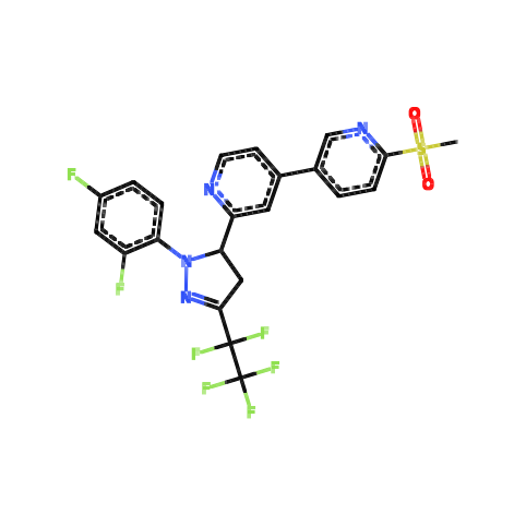 CS(=O)(=O)c1ccc(-c2ccnc(C3CC(C(F)(F)C(F)(F)F)=NN3c3ccc(F)cc3F)c2)cn1